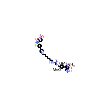 COc1cc(-c2cn(C)c(=O)c3[nH]ncc23)cc(OC)c1CNCC(=O)NCCCCCCCCN1CCC(c2ccc(NC3CCC(=O)NC3=O)c(F)c2)CC1